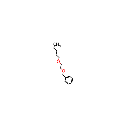 CCCCCOCCOCc1cc[c]cc1